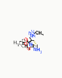 Cc1nnn(CC2=C(C(=O)OC(C)(C)C)N3C(=O)C(N)[C@@H]3SC2)n1